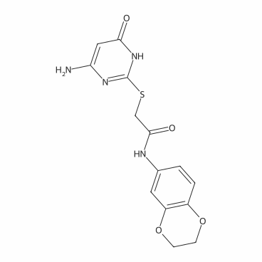 Nc1cc(=O)[nH]c(SCC(=O)Nc2ccc3c(c2)OCCO3)n1